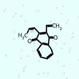 C=CC1=C(/C=C\C)C(=O)C2=C(CC=CC=C2)C1=O